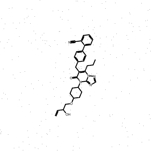 C=CC(O)COC1CCC(n2c(=O)c(Cc3ccc(-c4ccccc4C#N)cc3)c(CCC)n3ncnc23)CC1